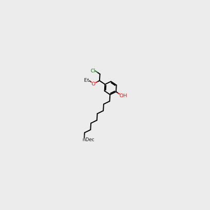 CCCCCCCCCCCCCCCCCCc1cc(C(CCl)OCC)ccc1O